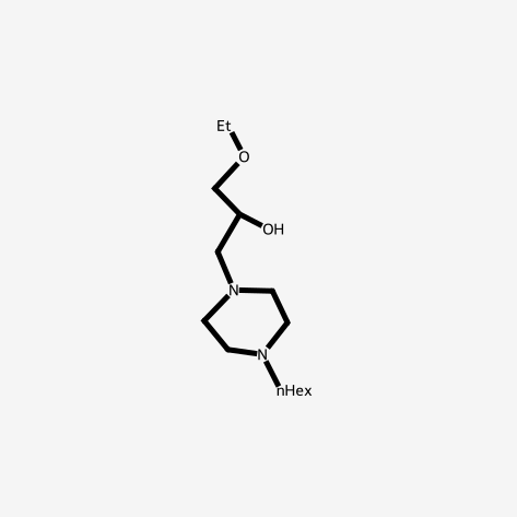 CCCCCCN1CCN(CC(O)COCC)CC1